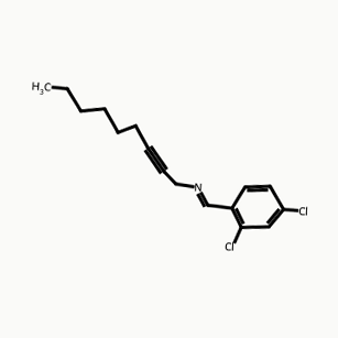 CCCCCCC#CC/N=C/c1ccc(Cl)cc1Cl